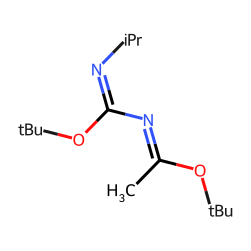 C/C(=N\C(=N/C(C)C)OC(C)(C)C)OC(C)(C)C